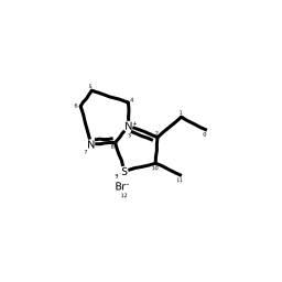 CCC1=[N+]2CCCN=C2SC1C.[Br-]